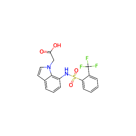 O=C(O)Cn1ccc2cccc(NS(=O)(=O)c3ccccc3C(F)(F)F)c21